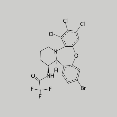 O=C(N[C@H]1CCCN2c3c(cc(Cl)c(Cl)c3Cl)Oc3cc(Br)ccc3[C@@H]12)C(F)(F)F